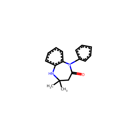 CC1(C)CC(=O)N(c2ccccc2)c2ccccc2N1